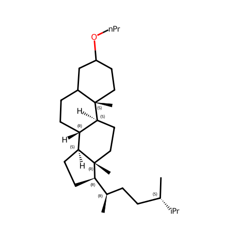 CCCOC1CC[C@@]2(C)C(CC[C@H]3[C@@H]4CC[C@H]([C@H](C)CC[C@H](C)C(C)C)[C@@]4(C)CC[C@@H]32)C1